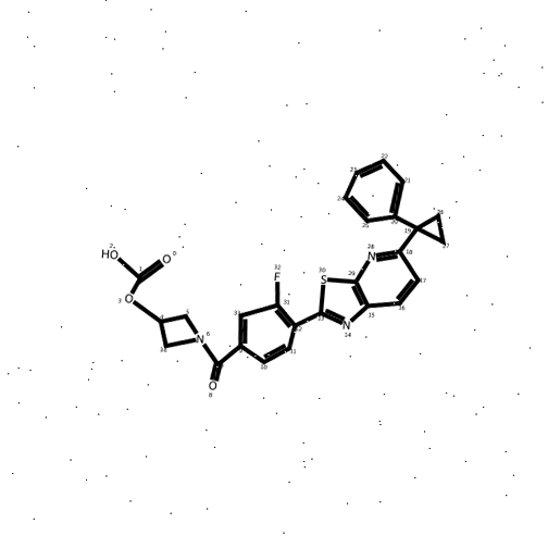 O=C(O)OC1CN(C(=O)c2ccc(-c3nc4ccc(C5(c6ccccc6)CC5)nc4s3)c(F)c2)C1